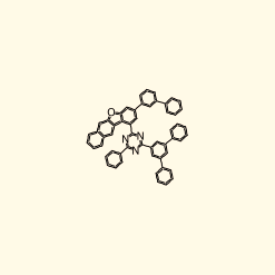 c1ccc(-c2cccc(-c3cc(-c4nc(-c5ccccc5)nc(-c5cc(-c6ccccc6)cc(-c6ccccc6)c5)n4)c4c(c3)oc3cc5ccccc5cc34)c2)cc1